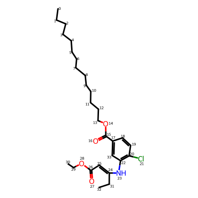 CCCCCCCCCCCCCCOC(=O)c1ccc(Cl)c(NC(=CC(=O)OCC)CC)c1